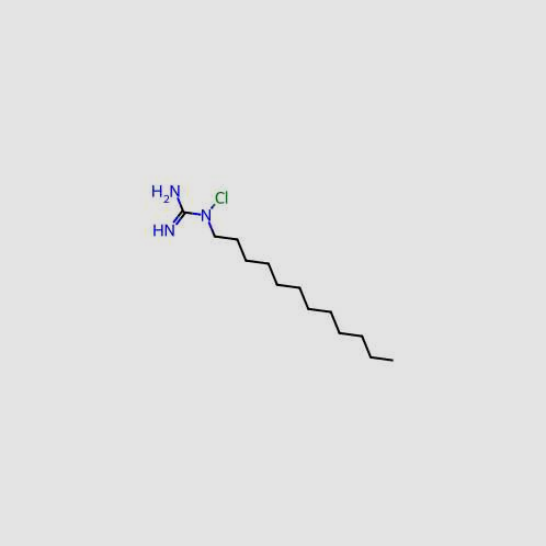 CCCCCCCCCCCCN(Cl)C(=N)N